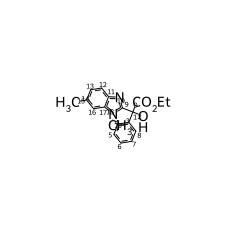 CCOC(=O)C(O)(c1ccccc1)c1nc2ccc(C)cc2n1C